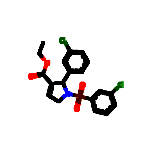 CCOC(=O)C1=CCN(S(=O)(=O)c2cccc(Cl)c2)C1c1cccc(Cl)c1